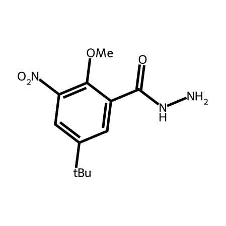 COc1c(C(=O)NN)cc(C(C)(C)C)cc1[N+](=O)[O-]